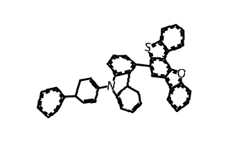 C1=CCC2C(=C1)N(C1=CCC(c3ccccc3)C=C1)c1cccc(-c3cc4c5ccccc5oc4c4c3sc3ccccc34)c12